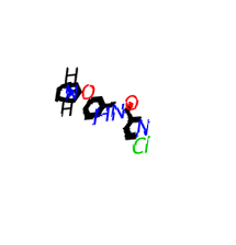 CN1[C@@H]2CC[C@H]1C[C@H](Oc1cccc(CNC(=O)c3ccc(Cl)nc3)c1)C2